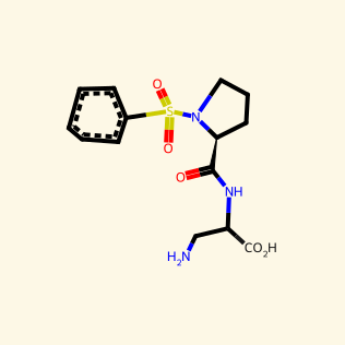 NCC(NC(=O)[C@@H]1CCCN1S(=O)(=O)c1ccccc1)C(=O)O